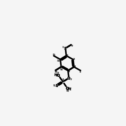 CSc1cc(C)c(OP(O)(O)=S)c(C)c1C